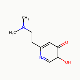 CN(C)CCC1=CC(=O)C(O)C=N1